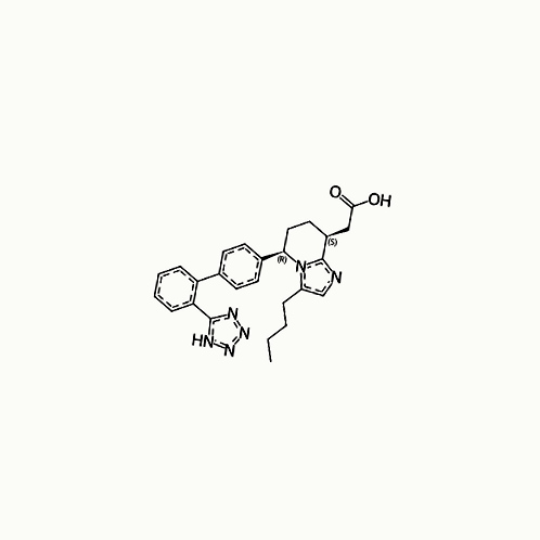 CCCCc1cnc2n1[C@@H](c1ccc(-c3ccccc3-c3nnn[nH]3)cc1)CC[C@H]2CC(=O)O